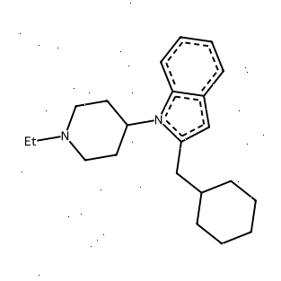 CCN1CCC(n2c(CC3CCCCC3)cc3ccccc32)CC1